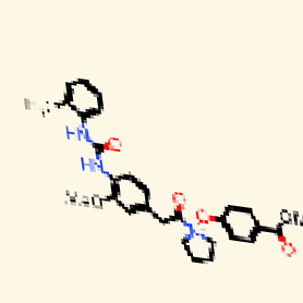 COC(=O)c1ccc(O[N+]2(C(=O)Cc3ccc(NC(=O)Nc4ccccc4C)c(OC)c3)CCCC2)cc1